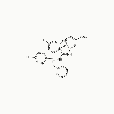 COc1ccc2nc(N[C@](Cc3ccccc3)(c3cc(F)cc(C(F)(F)F)c3)c3ccc(Cl)cn3)[nH]c2c1